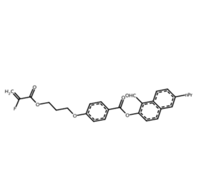 C=C(F)C(=O)OCCCOc1ccc(C(=O)Oc2ccc3cc(CCC)ccc3c2C=O)cc1